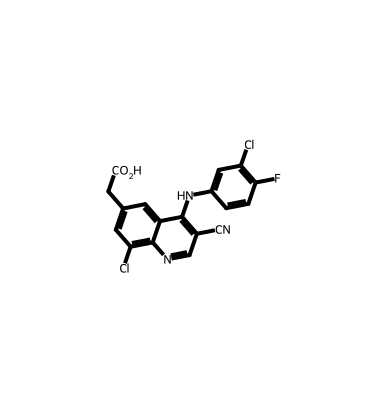 N#Cc1cnc2c(Cl)cc(CC(=O)O)cc2c1Nc1ccc(F)c(Cl)c1